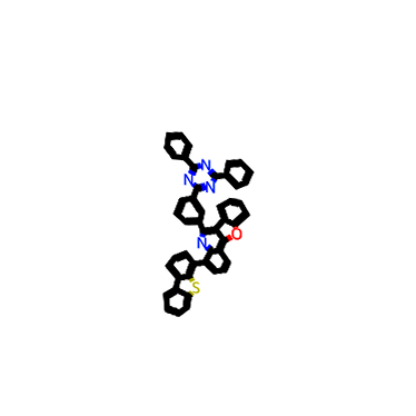 c1ccc(-c2nc(-c3ccccc3)nc(-c3cccc(-c4nc5c(-c6cccc7c6sc6ccccc67)cccc5c5oc6ccccc6c45)c3)n2)cc1